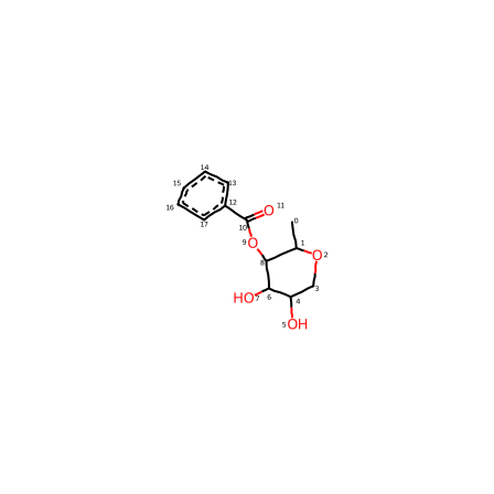 CC1OCC(O)C(O)C1OC(=O)c1ccccc1